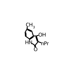 CCCc1c(O)c2cc(C)ccc2[nH]c1=O